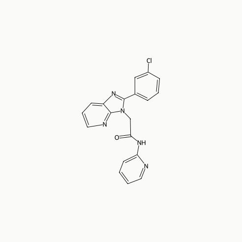 O=C(Cn1c(-c2cccc(Cl)c2)nc2cccnc21)Nc1ccccn1